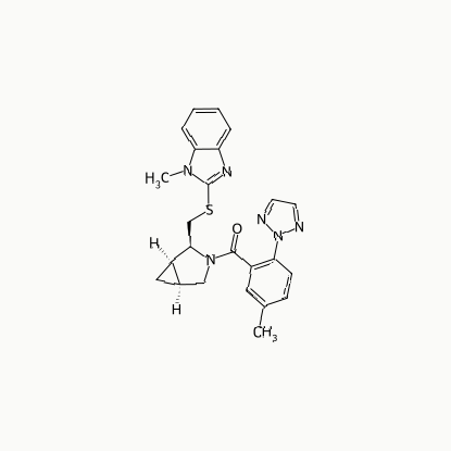 Cc1ccc(-n2nccn2)c(C(=O)N2C[C@H]3C[C@H]3[C@H]2CSc2nc3ccccc3n2C)c1